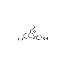 COc1cc(O)ccc1C1=CC(=O)OC1Cc1ccc(O)cc1